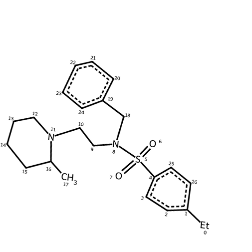 CCc1ccc(S(=O)(=O)N(CCN2CCCCC2C)Cc2ccccc2)cc1